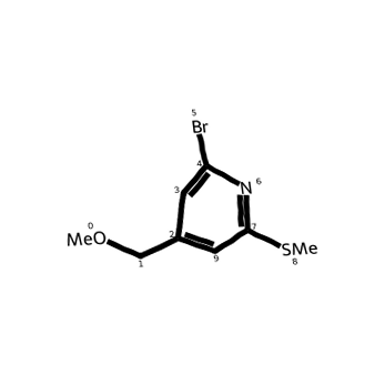 COCc1cc(Br)nc(SC)c1